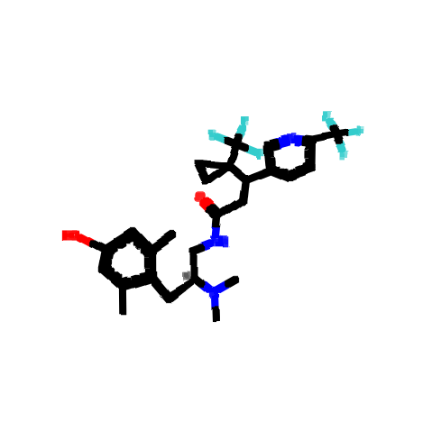 Cc1cc(O)cc(C)c1C[C@@H](CNC(=O)CC(c1ccc(C(F)(F)F)nc1)C1(C(F)(F)F)CC1)N(C)C